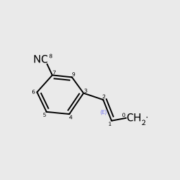 [CH2]/C=C/c1cccc(C#N)c1